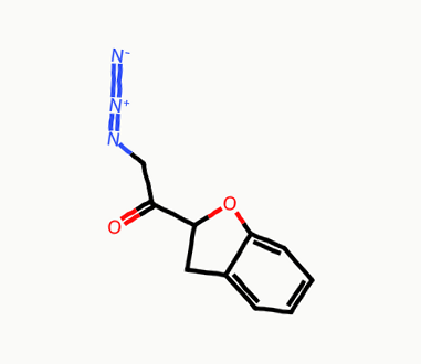 [N-]=[N+]=NCC(=O)C1Cc2ccccc2O1